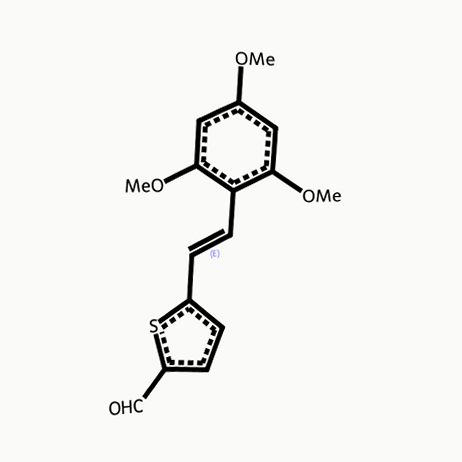 COc1cc(OC)c(/C=C/c2ccc(C=O)s2)c(OC)c1